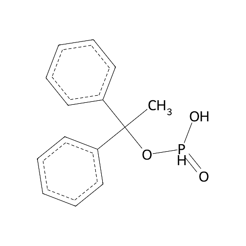 CC(O[PH](=O)O)(c1ccccc1)c1ccccc1